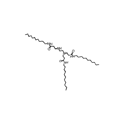 CCCCCCCCCCCNC(=O)CCNCCN(CCC(=O)NCCCCCCCCCCC)CCC(=O)NCCCCCCCCCCC